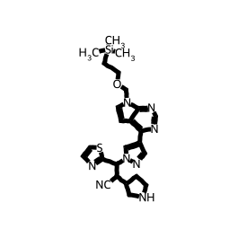 C[Si](C)(C)CCOCn1ccc2c(-c3cnn(C(c4nccs4)C(C#N)C4CCNC4)c3)ncnc21